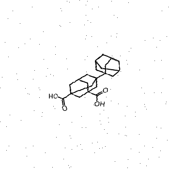 O=C(O)C12CC3CC(C(=O)O)(C1)CC(C14CC5CC(CC(C5)C1)C4)(C3)C2